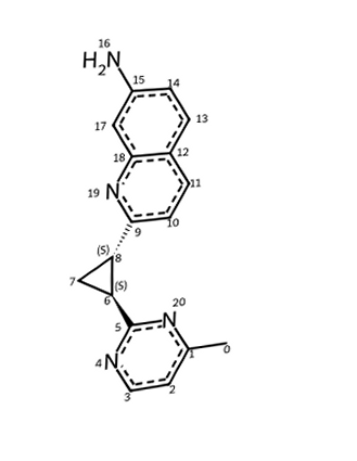 Cc1ccnc([C@H]2C[C@@H]2c2ccc3ccc(N)cc3n2)n1